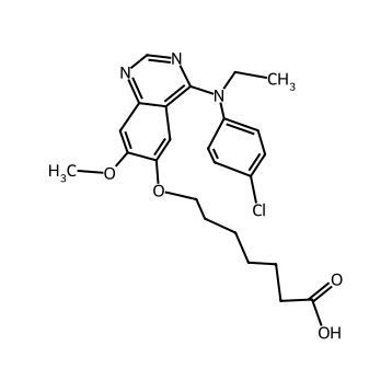 CCN(c1ccc(Cl)cc1)c1ncnc2cc(OC)c(OCCCCCCC(=O)O)cc12